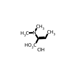 CC=C(C(=O)O)N(C)C.Cl